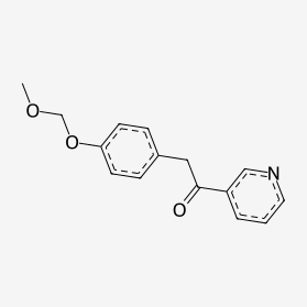 COCOc1ccc(CC(=O)c2cccnc2)cc1